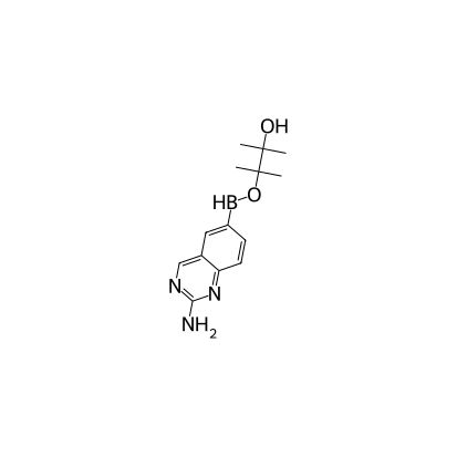 CC(C)(O)C(C)(C)OBc1ccc2nc(N)ncc2c1